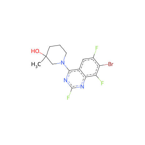 CC1(O)CCCN(c2nc(F)nc3c(F)c(Br)c(F)cc23)C1